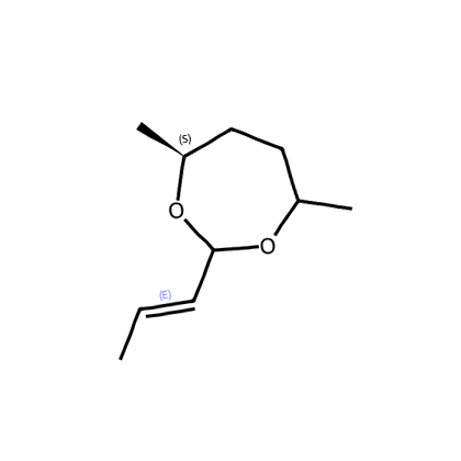 C/C=C/C1OC(C)CC[C@H](C)O1